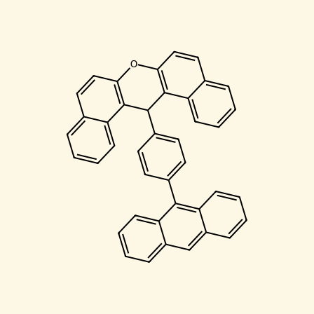 c1ccc2c3c(ccc2c1)Oc1ccc2ccccc2c1C3c1ccc(-c2c3ccccc3cc3ccccc23)cc1